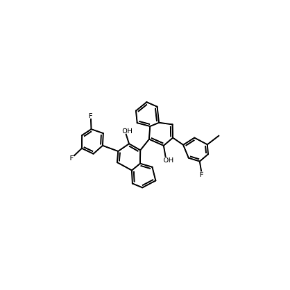 Cc1cc(F)cc(-c2cc3ccccc3c(-c3c(O)c(-c4cc(F)cc(F)c4)cc4ccccc34)c2O)c1